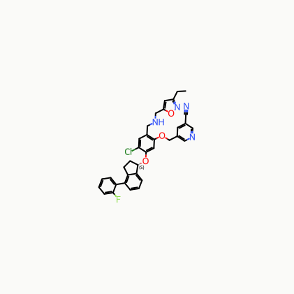 CCc1cc(CNCc2cc(Cl)c(O[C@H]3CCc4c(-c5ccccc5F)cccc43)cc2OCc2cncc(C#N)c2)on1